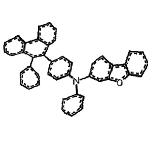 c1ccc(-c2c(-c3ccc(N(c4ccccc4)c4ccc5c(c4)oc4ccccc45)cc3)c3ccccc3c3ccccc23)cc1